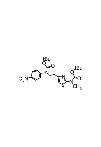 CN(C(=O)OC(C)(C)C)c1nc(CCN(C(=O)OC(C)(C)C)c2ccc([N+](=O)[O-])cc2)cs1